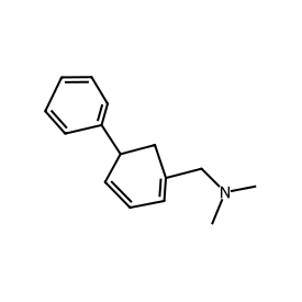 CN(C)CC1=CC=CC(c2ccccc2)C1